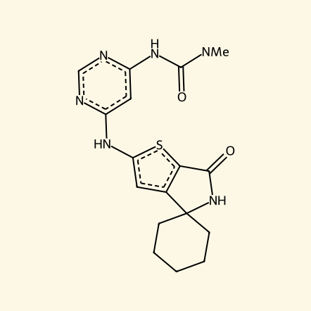 CNC(=O)Nc1cc(Nc2cc3c(s2)C(=O)NC32CCCCC2)ncn1